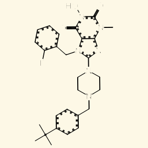 Cn1c(=O)n(O)c(=O)c2c1nc(N1CCN(Cc3ccc(C(C)(C)C)cc3)CC1)n2Cc1ccccc1F